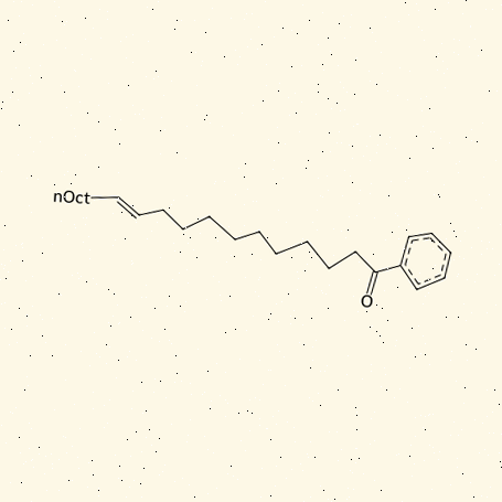 CCCCCCCCC=CCCCCCCCCCC(=O)c1ccccc1